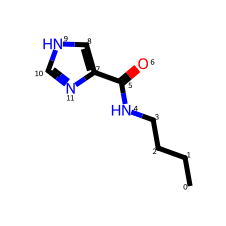 CCCCNC(=O)c1c[nH]cn1